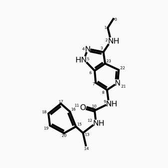 CCNc1n[nH]c2cc(NC(=O)NC(C)c3ccccc3)ncc12